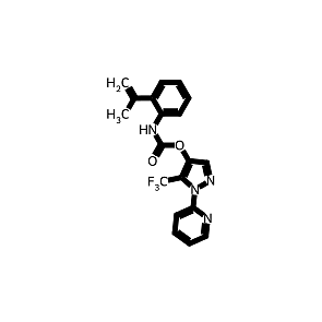 C=C(C)c1ccccc1NC(=O)Oc1cnn(-c2ccccn2)c1C(F)(F)F